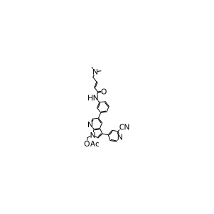 CC(=O)OCn1cc(-c2ccnc(C#N)c2)c2cc(-c3cccc(NC(=O)C=CCN(C)C)c3)cnc21